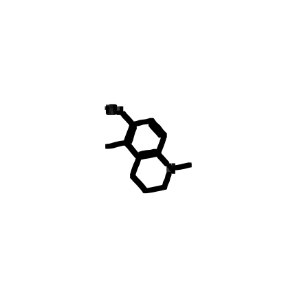 Cc1c(C(C)(C)C)ccc2c1CCCN2C